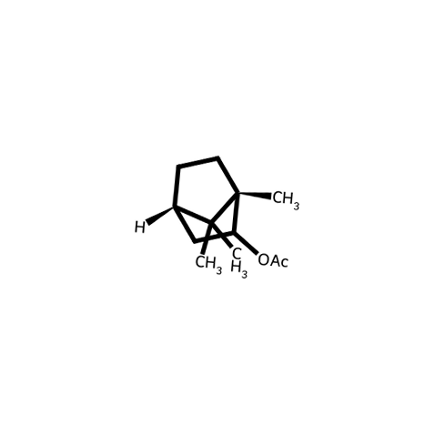 CC(=O)OC1C[C@@H]2CC[C@@]1(C)C2(C)C